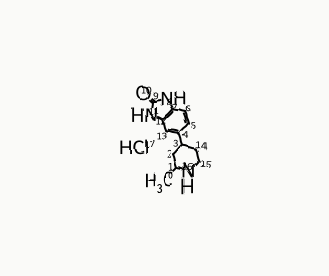 CC1CC(c2ccc3[nH]c(=O)[nH]c3c2)CCN1.Cl